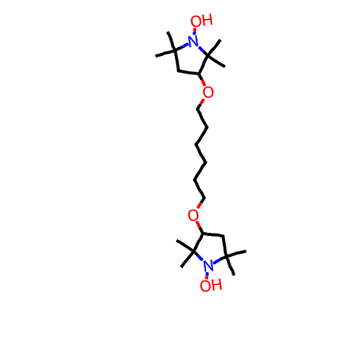 CC1(C)CC(OCCCCCCOC2CC(C)(C)N(O)C2(C)C)C(C)(C)N1O